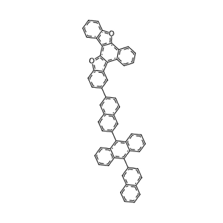 c1ccc2cc(-c3c4ccccc4c(-c4ccc5cc(-c6ccc7oc8c(c7c6)c6ccccc6c6oc7ccccc7c68)ccc5c4)c4ccccc34)ccc2c1